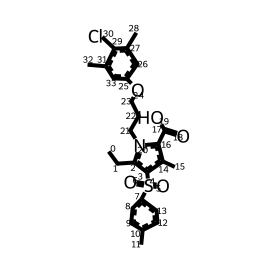 CCc1c(S(=O)(=O)c2ccc(C)cc2)c(C)c(C(=O)O)n1CCCOc1cc(C)c(Cl)c(C)c1